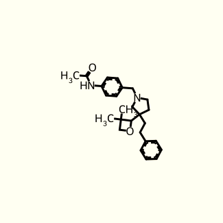 CC(=O)Nc1ccc(CN2CCC(CCc3ccccc3)(C3OCC3(C)C)C2)cc1